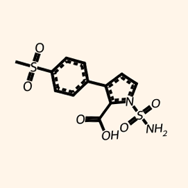 CS(=O)(=O)c1ccc(-c2ccn(S(N)(=O)=O)c2C(=O)O)cc1